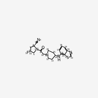 N#C[C@@H]1C[C@H](F)CN1C(=O)CN1CCC(Nc2cccc3ncsc23)CC1